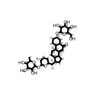 CC1OC(OC2OC([C@@H](C)C3CCC4C5=CC(=O)C6C[C@@H](OC7OC(CO)C(O)C(O)C7O)CC[C@]6(C)C5CC[C@@]43C)CC[C@H]2C)C(O)C(O)C1O